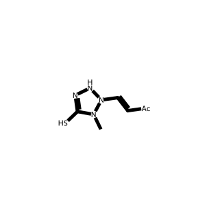 CC(=O)C=CN1NN=C(S)N1C